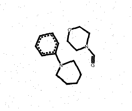 O=CN1CCOCC1.c1ccc(N2CCCCC2)cc1